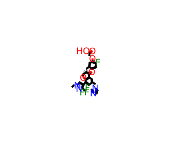 CCn1cc(-c2cc(Cn3ccnc3)cc3c2OC[C@H](Cc2ccc(F)c(OCC(=O)O)c2)C3=O)c(C(F)(F)F)n1